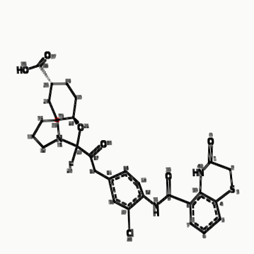 O=C1CSc2cccc(C(=O)Nc3ccc(CC(=O)C(F)(O[C@H]4CC[C@H](C(=O)O)CC4)N4CCCC4)cc3Cl)c2N1